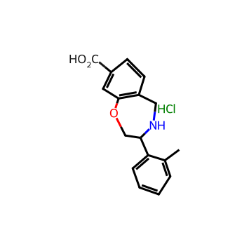 Cc1ccccc1C1COc2cc(C(=O)O)ccc2CN1.Cl